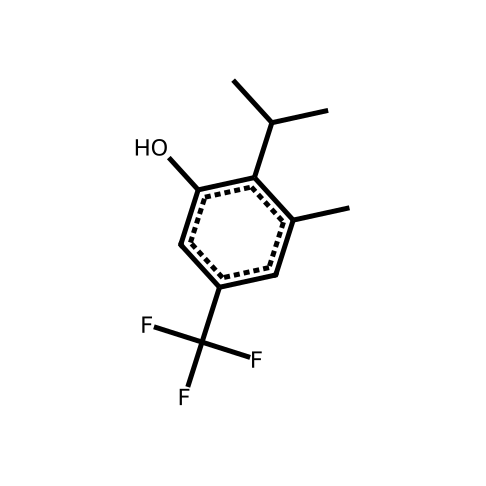 Cc1cc(C(F)(F)F)cc(O)c1C(C)C